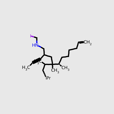 C=CCCCC[C@@H](C)C(C)(CC(C#CC)CNCI)C(C)CC(C)C